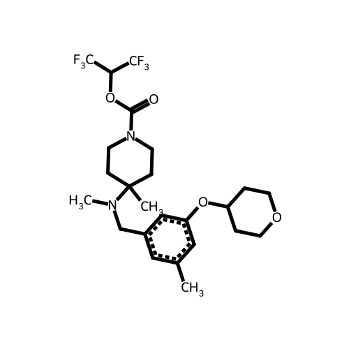 Cc1cc(CN(C)C2(C)CCN(C(=O)OC(C(F)(F)F)C(F)(F)F)CC2)cc(OC2CCOCC2)c1